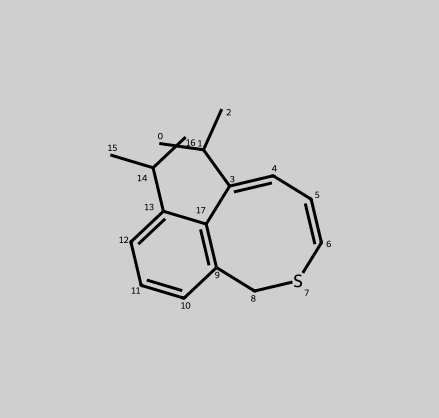 CC(C)/C1=C/C=C\SCc2cccc(C(C)C)c21